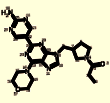 CCC(=O)N1CCC(Cn2cnc3c(N4CCOCC4)nc(-c4cnc(N)nc4)nc32)C1